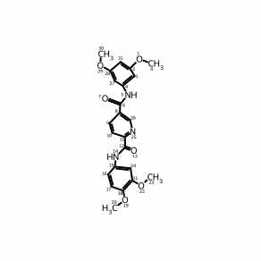 COc1cc(NC(=O)c2ccc(C(=O)Nc3ccc(OC)c(OC)c3)nc2)cc(OC)c1